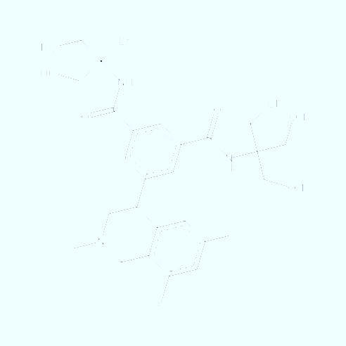 CCC(CO)(CO)NC(=O)c1cc(C(=O)NC(CO)(CO)CO)cc(C2CN(C)Cc3c(Cl)cc(Cl)cc32)c1